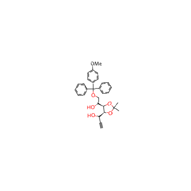 C#CC(O)[C@@H]1OC(C)(C)O[C@@H]1C(O)COC(c1ccccc1)(c1ccccc1)c1ccc(OC)cc1